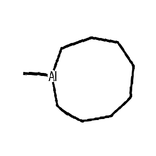 [CH3][Al]1[CH2]CCCCCC[CH2]1